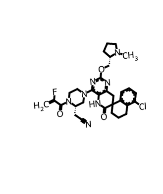 C=C(F)C(=O)N1CCN(c2nc(OC[C@@H]3CCCN3C)nc3c2NC(=O)C2(CCCc4c(Cl)cccc42)C3)C[C@@H]1CC#N